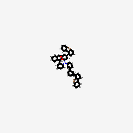 c1cc(-c2cccc(N(c3cccc(-c4cccc5sc6ccccc6c45)c3)c3ccccc3-c3cccc4ccccc34)c2)cc(-c2cccc3c2sc2ccccc23)c1